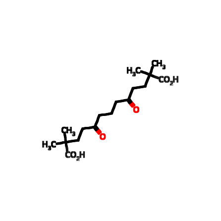 CC(C)(CCC(=O)CCCC(=O)CCC(C)(C)C(=O)O)C(=O)O